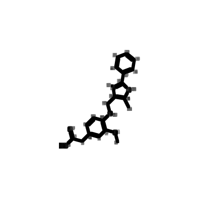 COc1cc(CC(=O)O)ccc1OCc1nc(-c2ccccc2)oc1C